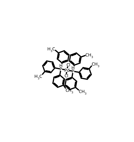 Cc1cccc([PH](c2cccc(C)c2)(c2cccc(C)c2)[Pd]([Cl])([Cl])[PH](c2cccc(C)c2)(c2cccc(C)c2)c2cccc(C)c2)c1